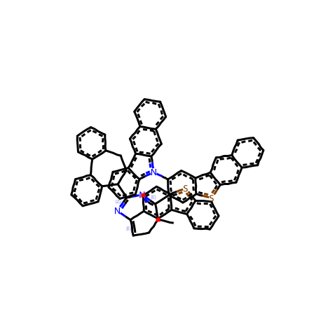 CC1C/C=C(c2ccc3sc4ccccc4c3c2)/N=C(C2CCc3ccccc3-c3ccccc32)\N=C/1c1cc2sc3cc4ccccc4cc3c2cc1-n1c2ccccc2c2cc3ccccc3cc21